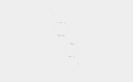 CC#Cc1ccc(-c2ccc(CCC(=O)O)cc2)cc1